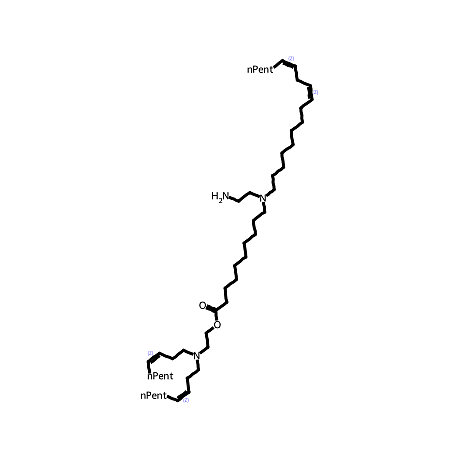 CCCCC/C=C\C/C=C\CCCCCCCCN(CCN)CCCCCCCCCC(=O)OCCN(CC/C=C\CCCCC)CC/C=C\CCCCC